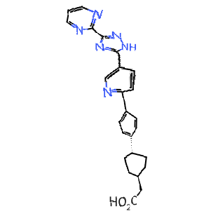 O=C(O)C[C@H]1CC[C@H](c2ccc(-c3ccc(-c4nc(-c5ncccn5)n[nH]4)cn3)cc2)CC1